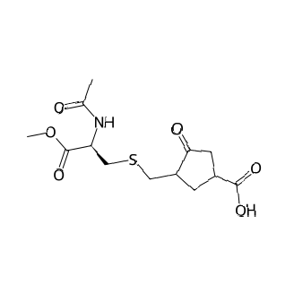 COC(=O)[C@H](CSCC1CC(C(=O)O)CC1=O)NC(C)=O